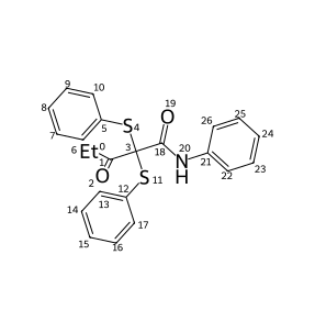 CCC(=O)C(Sc1ccccc1)(Sc1ccccc1)C(=O)Nc1ccccc1